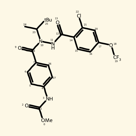 COC(=O)Nc1ccc(C(=O)N(NC(=O)c2ccc(OC(F)(F)F)cc2Cl)C(C)C(C)(C)C)cc1